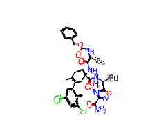 CCC(C)[C@H](NC(=O)OCc1ccccc1)C(=O)N[C@]1(C(=O)N[C@H](c2nc(C(N)=O)no2)C(C)CC)CCC(C)=C(c2cc(Cl)cc(Cl)c2C)C1